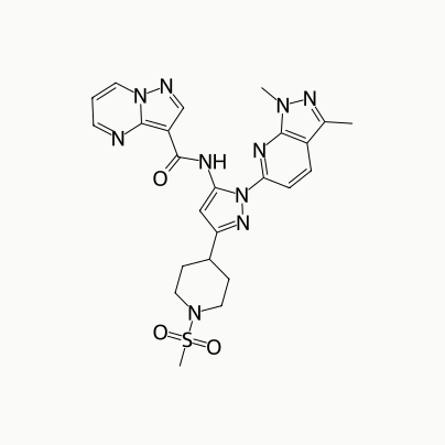 Cc1nn(C)c2nc(-n3nc(C4CCN(S(C)(=O)=O)CC4)cc3NC(=O)c3cnn4cccnc34)ccc12